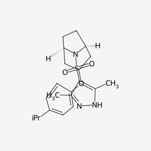 Cc1n[nH]c(C)c1S(=O)(=O)N1[C@@H]2CC[C@H]1CC(Oc1ccc(C(C)C)cc1)C2